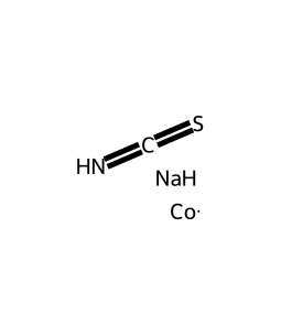 N=C=S.[Co].[NaH]